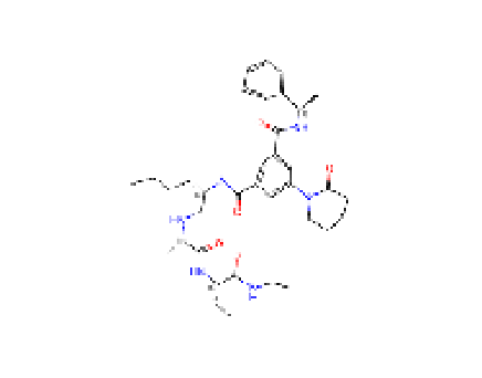 CCCC[C@@H](CN[C@@H](C)C(=O)N[C@@H](CC)C(=O)NCC)NC(=O)c1cc(C(=O)N[C@H](C)c2ccccc2)cc(N2CCCCC2=O)c1